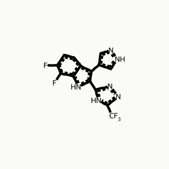 Fc1ccc2c(-c3cn[nH]c3)c(-c3nnc(C(F)(F)F)[nH]3)[nH]c2c1F